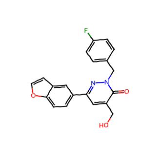 O=c1c(CO)cc(-c2ccc3occc3c2)nn1Cc1ccc(F)cc1